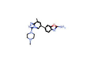 Cc1cc(-c2ccc3nc(N)oc3c2)cn2c(N3CCN(C)CC3)nnc12